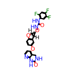 O=C(NO[C@@H]1[C@H]2Oc3ccc(Oc4ccnc5c4CNC(=O)N5)cc3[C@@H]12)Nc1cc(F)c(F)cc1F